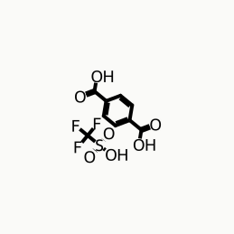 O=C(O)c1ccc(C(=O)O)cc1.O=S(=O)(O)C(F)(F)F